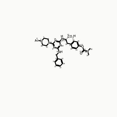 CC(=O)N1CCN(c2nc(NCc3ccccc3)nc(N[C@@H](Cc3ccc(OC(=O)N(C)C)cc3)C(=O)O)n2)CC1